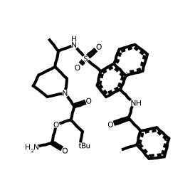 Cc1ccccc1C(=O)Nc1ccc(S(=O)(=O)NC(C)C2CCCN(C(=O)C(CC(C)(C)C)OC(N)=O)C2)c2ccccc12